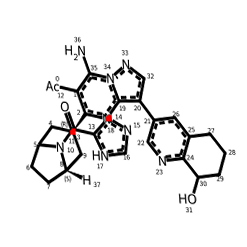 CC(=O)c1c([C@@H]2CC3CC[C@@H](C2)N3C(=O)c2nnc[nH]2)nc2c(-c3cnc4c(c3)CCCC4O)cnn2c1N